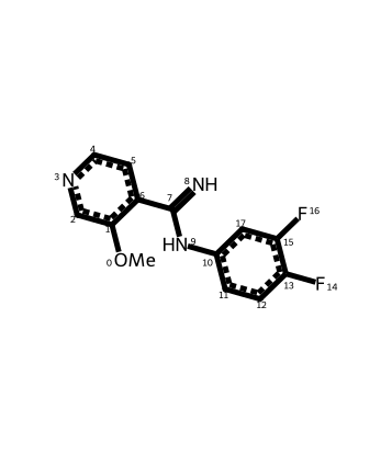 COc1cnccc1C(=N)Nc1ccc(F)c(F)c1